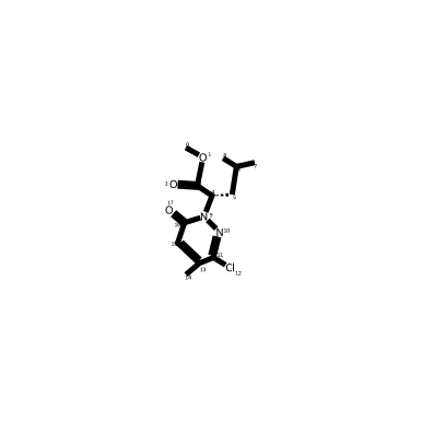 COC(=O)[C@H](CC(C)C)n1nc(Cl)c(C)cc1=O